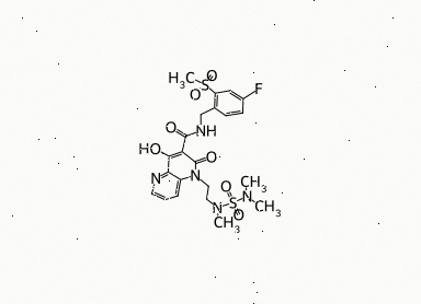 CN(C)S(=O)(=O)N(C)CCn1c(=O)c(C(=O)NCc2ccc(F)cc2S(C)(=O)=O)c(O)c2ncccc21